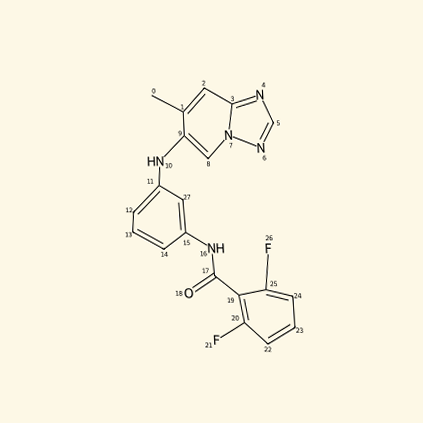 Cc1cc2ncnn2cc1Nc1cccc(NC(=O)c2c(F)cccc2F)c1